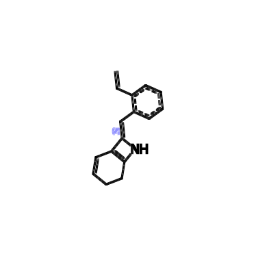 C=Cc1ccccc1/C=C1\NC2=C1C=CCC2